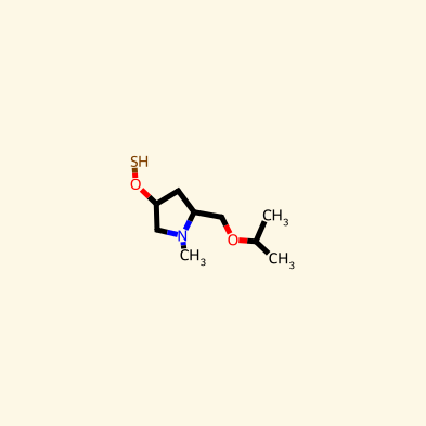 CC(C)OCC1CC(OS)CN1C